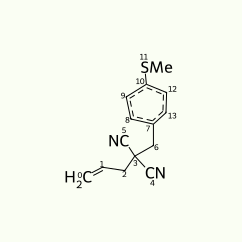 C=CCC(C#N)(C#N)Cc1ccc(SC)cc1